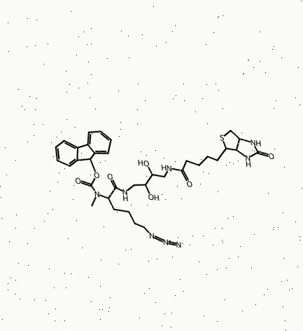 CN(C(=O)OC1c2ccccc2-c2ccccc21)C(CCCCN=[N+]=[N-])C(=O)NCC(O)C(O)CNC(=O)CCCCC1SCC2NC(=O)NC21